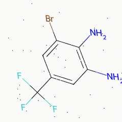 Nc1cc(C(F)(F)F)cc(Br)c1N